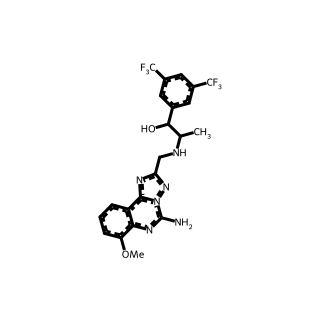 COc1cccc2c1nc(N)n1nc(CNC(C)C(O)c3cc(C(F)(F)F)cc(C(F)(F)F)c3)nc21